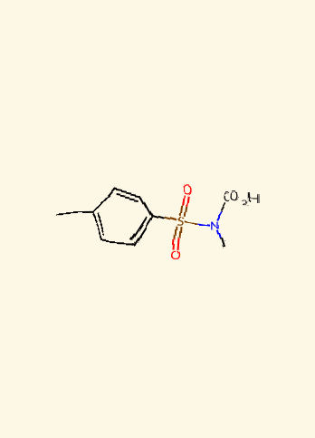 Cc1ccc(S(=O)(=O)N(C)C(=O)O)cc1